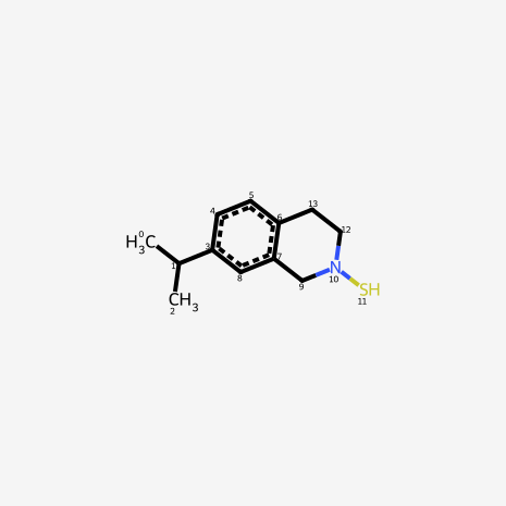 CC(C)c1ccc2c(c1)CN(S)CC2